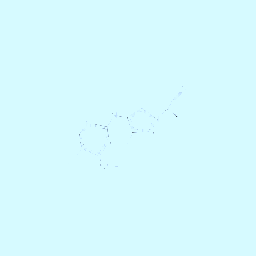 CC[C@H](C=N)n1cc(Nc2ncc(C(F)(F)F)c(NC)n2)c(C)n1